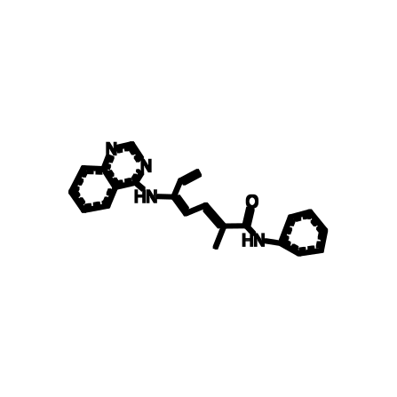 C=C/C(=C\C=C(/C)C(=O)Nc1ccccc1)Nc1ncnc2ccccc12